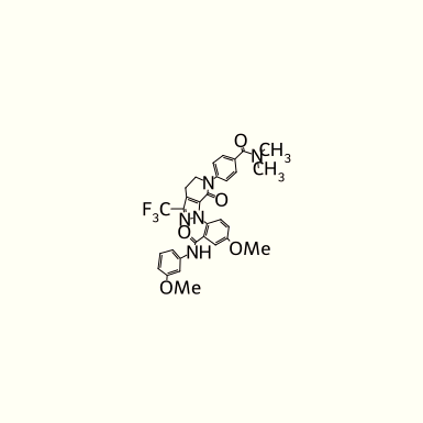 COc1cccc(NC(=O)c2cc(OC)ccc2-n2nc(C(F)(F)F)c3c2C(=O)N(c2ccc(C(=O)N(C)C)cc2)CC3)c1